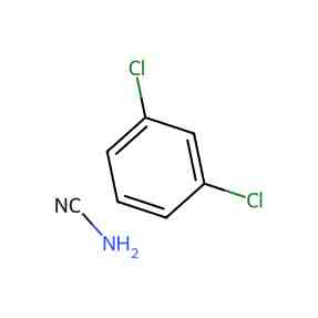 Clc1cccc(Cl)c1.N#CN